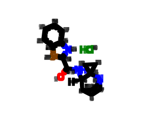 Cl.O=C(N[C@H]1C2CCN(CC2)C12CC2)c1nc2ccccc2s1